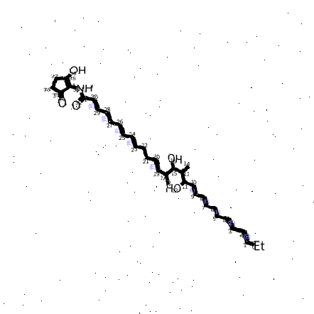 CC/C=C/C=C/C=C/C=C/C=C/C(O)C(C)C(O)C(C)/C=C/CC/C=C/C=C/C=C/C=C/C(=O)NC1=C(O)CCC1=O